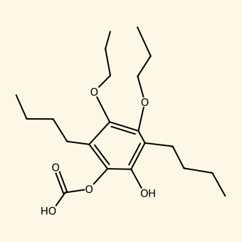 CCCCc1c(O)c(OC(=O)O)c(CCCC)c(OCCC)c1OCCC